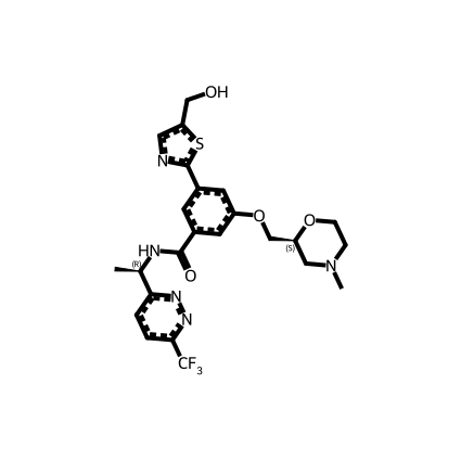 C[C@@H](NC(=O)c1cc(OC[C@@H]2CN(C)CCO2)cc(-c2ncc(CO)s2)c1)c1ccc(C(F)(F)F)nn1